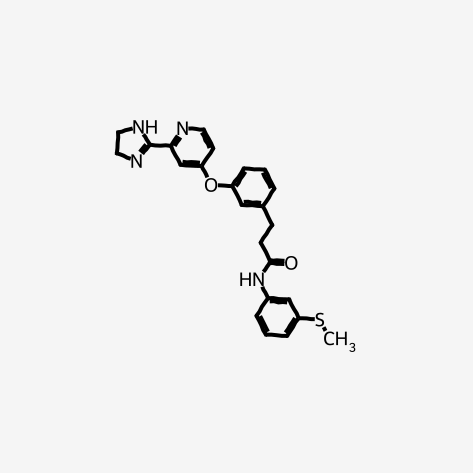 CSc1cccc(NC(=O)CCc2cccc(Oc3ccnc(C4=NCCN4)c3)c2)c1